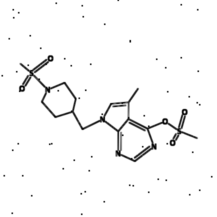 Cc1cn(CC2CCN(S(C)(=O)=O)CC2)c2ncnc(OS(C)(=O)=O)c12